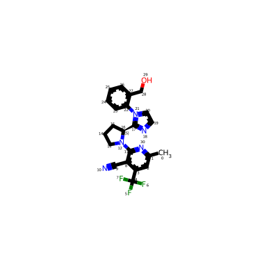 Cc1cc(C(F)(F)F)c(C#N)c(N2CCC[C@H]2c2nccn2-c2ccccc2CO)n1